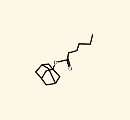 CCCCCC(=O)OC12CC3CC(CC(C3)C1)C2